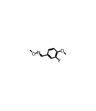 CON=Cc1ccc(OC)c(F)c1